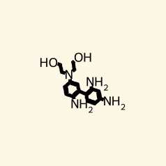 Nc1ccc(-c2cc(N(CCO)CCO)ccc2N)c(N)c1